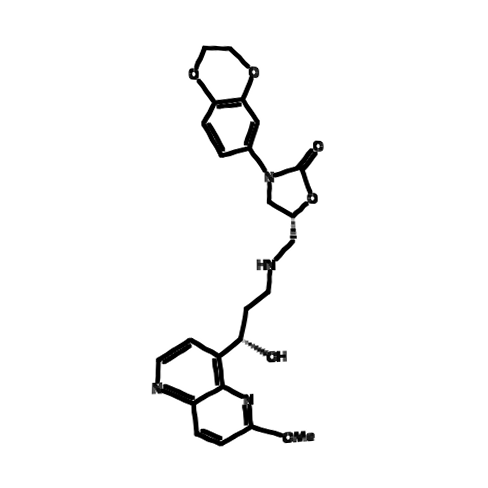 COc1ccc2nccc([C@@H](O)CCNC[C@@H]3CN(c4ccc5c(c4)OCCO5)C(=O)O3)c2n1